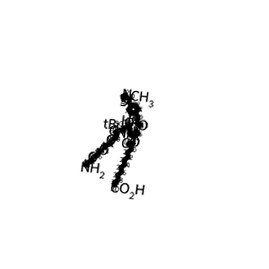 Cc1ncsc1-c1ccc(CNC(=O)[C@@H]2C[C@@H](OC(=O)CCCCCCCCCCC(=O)O)CN2C(=O)[C@@H](NC(=O)COCCOCCOCCN)C(C)(C)C)cc1